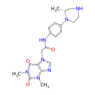 C[C@@H]1CNCCN1c1ccc(NC(=O)Cn2cnc3c2c(=O)n(C)c(=O)n3C)cc1